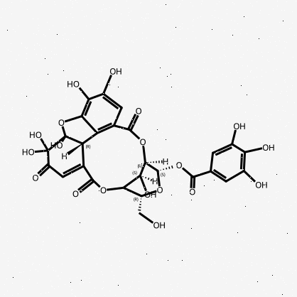 O=C1OC2[C@@H](CO)O[C@@H](OC(=O)c3cc(O)c(O)c(O)c3)[C@H](OC(=O)c3cc(O)c(O)c4c3[C@@H]3C1=CC(=O)C(O)(O)C3(O)O4)[C@H]2O